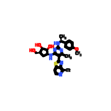 CCc1nccc2sc(-c3c(C)nc(N[C@H](C)c4ccc(OC(F)(F)F)cc4)nc3N[C@@H]3C[C@H](CO)[C@@H](O)[C@H]3O)nc12